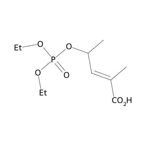 CCOP(=O)(OCC)OC(C)C=C(C)C(=O)O